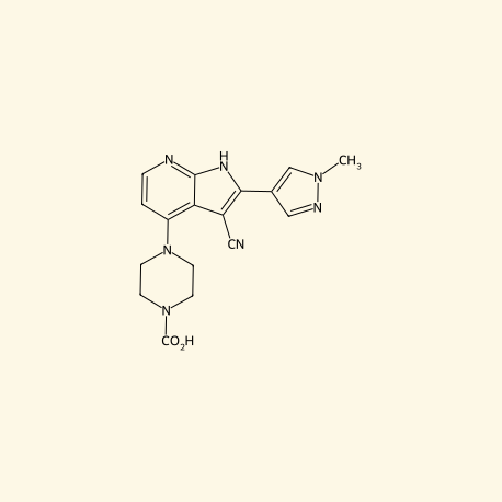 Cn1cc(-c2[nH]c3nccc(N4CCN(C(=O)O)CC4)c3c2C#N)cn1